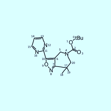 CC(C)(C)OC(=O)N1Cc2c(noc2-c2ncccn2)C(C)(C)C1